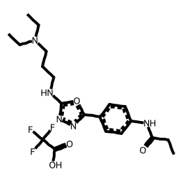 CCC(=O)Nc1ccc(-c2nnc(NCCCN(CC)CC)o2)cc1.O=C(O)C(F)(F)F